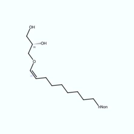 CCCCCCCCCCCCCCCC/C=C\OC[C@@H](O)CO